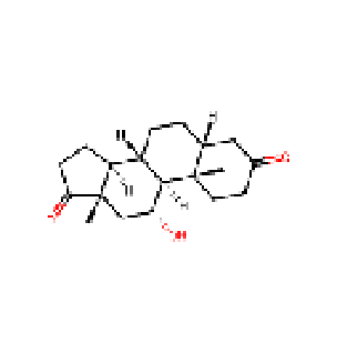 C[C@]12CCC(=O)C[C@H]1CC[C@@H]1[C@@H]2[C@H](O)C[C@]2(C)C(=O)CC[C@@H]12